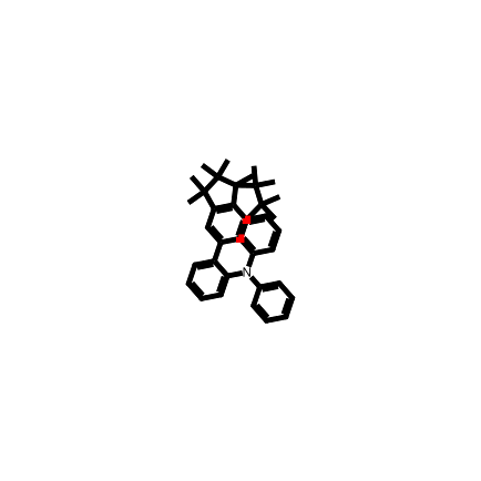 CC1(C)c2cc(-c3ccccc3N(c3ccccc3)c3ccccc3)cc3c2C(C)(C1(C)C)C(C)(C)C3(C)C